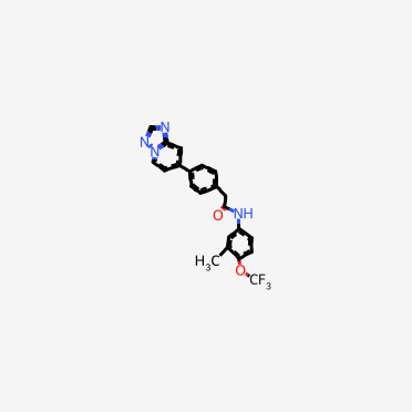 Cc1cc(NC(=O)Cc2ccc(-c3ccn4ncnc4c3)cc2)ccc1OC(F)(F)F